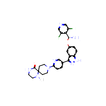 CN1CCNC(=O)C12CCN(c1ccc(-c3n[nH]c4ccc(O[C@H](N)c5c(Cl)cncc5Cl)cc34)cn1)CC2